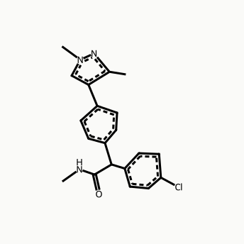 CNC(=O)C(c1ccc(Cl)cc1)c1ccc(-c2cn(C)nc2C)cc1